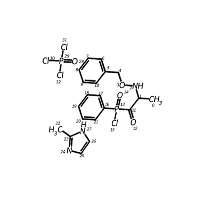 CC(NOCc1ccccc1)C(=O)P(=O)(Cl)c1ccccc1.Cc1ncc[nH]1.O=P(Cl)(Cl)Cl